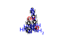 CN1CCN(C2CCN(c3ccc(Nc4nc(N[C@H]5CC[C@H](CO)CC5)c(-c5nccc6[nH]ccc56)nc4C(N)=O)cc3)CC2)CC1